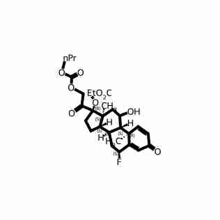 CCCOC(=O)OCC(=O)[C@@]1(OC(=O)OCC)CC[C@H]2[C@@H]3C[C@H](F)C4=CC(=O)C=C[C@]4(C)[C@H]3C(O)C[C@@]21C